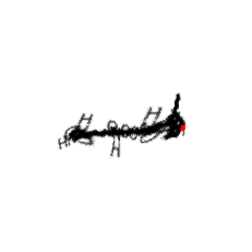 CCCCCc1cc2c(c(OCC(=O)NCCOCCOCCNC(=O)CCCCC3SCC4NC(=O)NC43)c1)[C@@H]1CC(C)=CC[C@H]1C(C)(C)C2